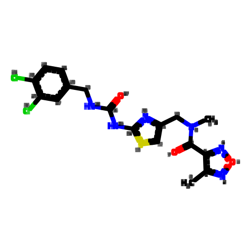 Cc1nonc1C(=O)N(C)Cc1csc(NC(=O)NCc2ccc(Cl)c(Cl)c2)n1